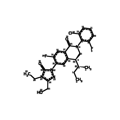 CC[C@@H](C)[C@@H]1CN(c2c(F)cccc2Cl)C(=O)c2cc(F)c(-n3nc(CO)n(CC)c3=O)cc21